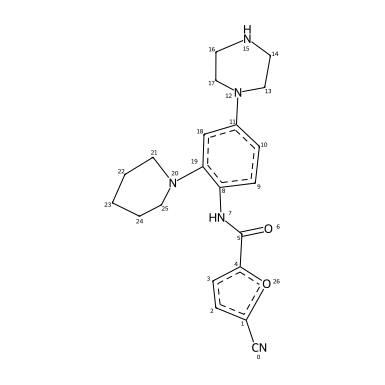 N#Cc1ccc(C(=O)Nc2ccc(N3CCNCC3)cc2N2CCCCC2)o1